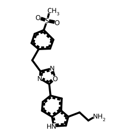 CS(=O)(=O)c1ccc(Cc2noc(-c3ccc4[nH]cc(CCN)c4c3)n2)cc1